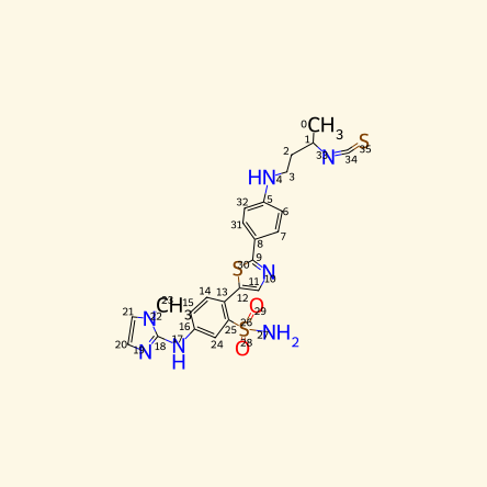 CC(CCNc1ccc(-c2ncc(-c3ccc(Nc4nccn4C)cc3S(N)(=O)=O)s2)cc1)N=C=S